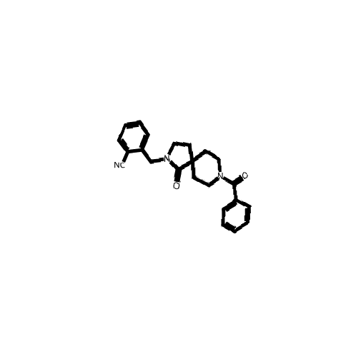 N#Cc1ccccc1CN1CCC2(CCN(C(=O)c3ccccc3)CC2)C1=O